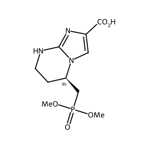 COP(=O)(C[C@H]1CCNc2nc(C(=O)O)cn21)OC